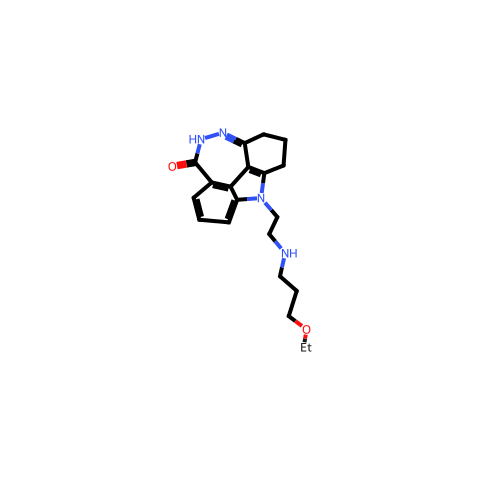 CCOCCCNCCn1c2c3c4c(cccc41)C(=O)NN=C3CCC2